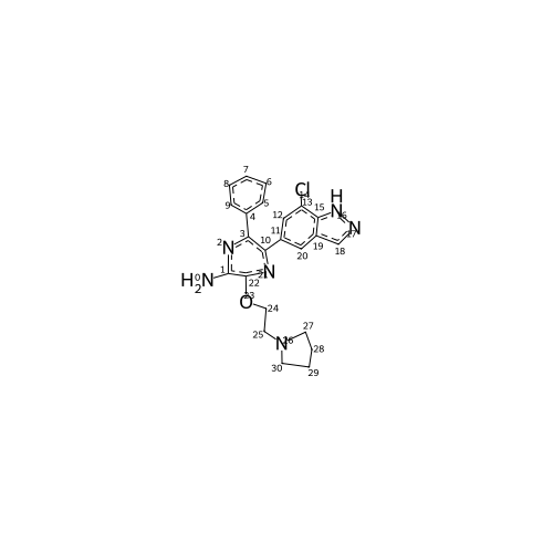 Nc1nc(-c2ccccc2)c(-c2cc(Cl)c3[nH]ncc3c2)nc1OCCN1CCCC1